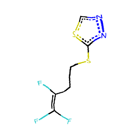 FC(F)=C(F)CCSc1nncs1